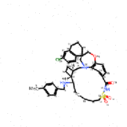 COc1ccc(CN[C@@H]2CCCCCS(=O)(=O)NC(=O)c3ccc4c(c3)N(C[C@@H]3CC[C@H]32)C[C@@]2(CCCc3cc(Cl)ccc32)CO4)cc1